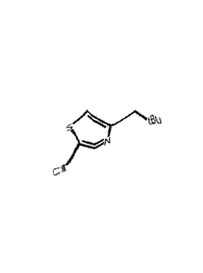 CC(C)(C)Cc1csc(Cl)n1